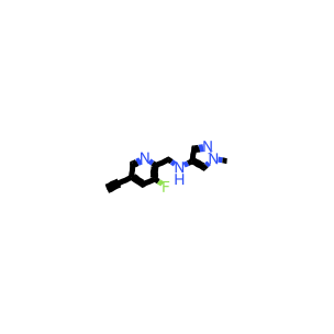 C#Cc1cnc(CNc2cnn(C)c2)c(F)c1